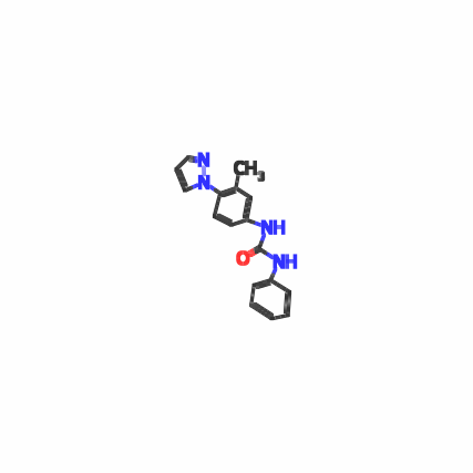 Cc1cc(NC(=O)Nc2ccccc2)ccc1-n1cccn1